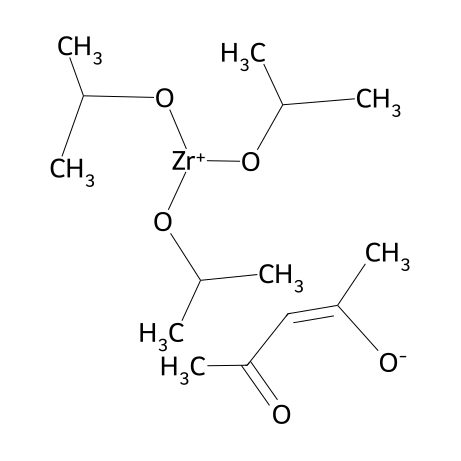 CC(=O)/C=C(/C)[O-].CC(C)[O][Zr+]([O]C(C)C)[O]C(C)C